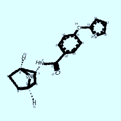 O=C(N[C@@H]1C[C@H]2CC[C@@H]1N2)c1ccc(Oc2cccs2)cc1